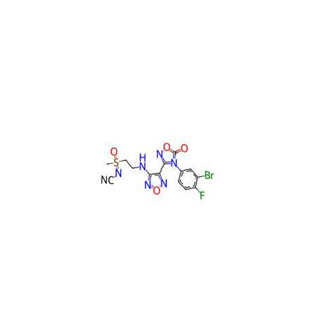 CS(=O)(CCNc1nonc1-c1noc(=O)n1-c1ccc(F)c(Br)c1)=NC#N